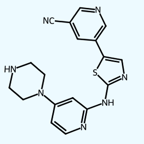 N#Cc1cncc(-c2cnc(Nc3cc(N4CCNCC4)ccn3)s2)c1